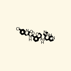 NC(=O)[C@H](Cc1ccc(Cl)cc1)NC(=O)c1cccc2c1OCCC2[AsH]C(Cc1ccncc1)c1cnc[nH]1